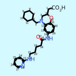 O=C(O)CC1CN(CC2CCCCC2)c2cc(NC(=O)CCCCNc3ccccn3)ccc2O1